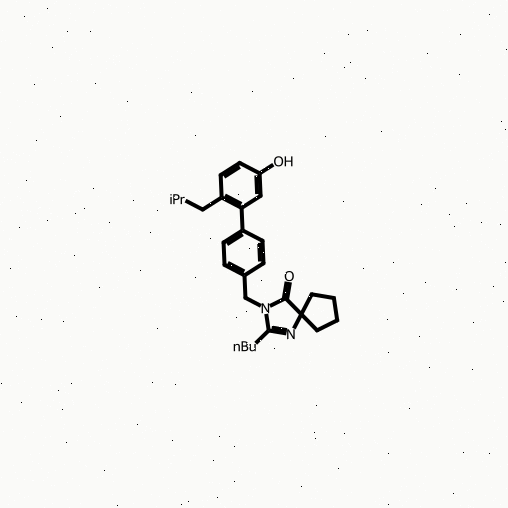 CCCCC1=NC2(CCCC2)C(=O)N1Cc1ccc(-c2cc(O)ccc2CC(C)C)cc1